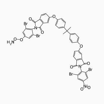 CC(C)(c1ccc(Oc2ccc3c(c2)C(=O)N(c2c(Br)cc(OON)cc2Br)C3=O)cc1)c1ccc(Oc2ccc3c(c2)C(=O)N(c2c(Br)cc([N+](=O)[O-])cc2Br)C3=O)cc1